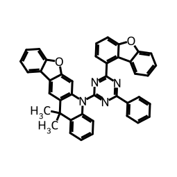 CC1(C)c2ccccc2N(c2nc(-c3ccccc3)nc(-c3cccc4oc5ccccc5c34)n2)c2cc3oc4ccccc4c3cc21